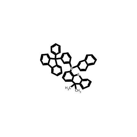 CC1(C)c2ccccc2Sc2c(N(c3cccc(C4(c5ccccc5)c5ccccc5-c5ccccc54)c3)c3ccc4ccccc4c3)cccc21